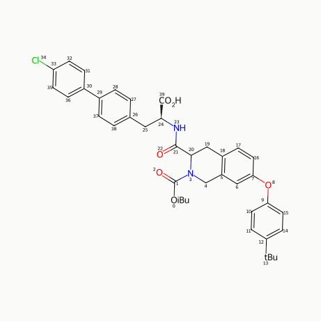 CC(C)COC(=O)N1Cc2cc(Oc3ccc(C(C)(C)C)cc3)ccc2CC1C(=O)N[C@@H](Cc1ccc(-c2ccc(Cl)cc2)cc1)C(=O)O